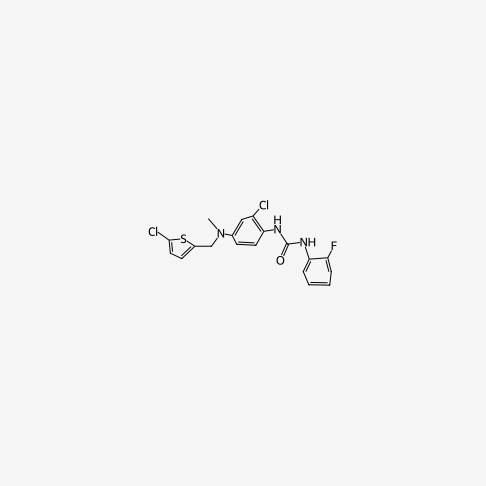 CN(Cc1ccc(Cl)s1)c1ccc(NC(=O)Nc2ccccc2F)c(Cl)c1